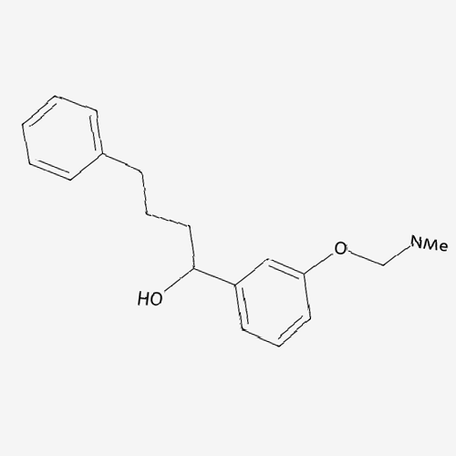 CNCOc1cccc(C(O)CCCc2ccccc2)c1